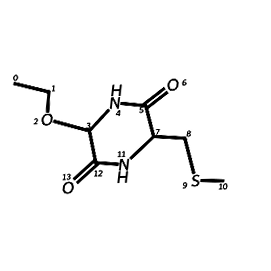 CCOC1NC(=O)C(CSC)NC1=O